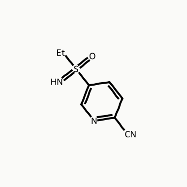 CCS(=N)(=O)c1ccc(C#N)nc1